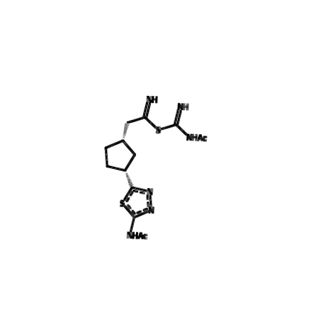 CC(=O)NC(=N)SC(=N)C[C@H]1CC[C@@H](c2nnc(NC(C)=O)s2)C1